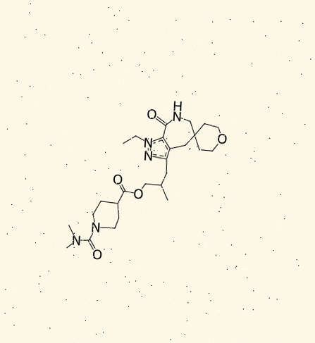 CCn1nc(CC(C)COC(=O)C2CCN(C(=O)N(C)C)CC2)c2c1C(=O)NCC1(CCOCC1)C2